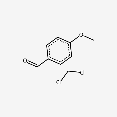 COc1ccc(C=O)cc1.ClCCl